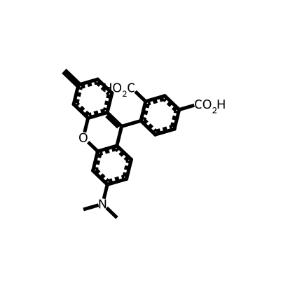 C=c1ccc2c(c1)Oc1cc(N(C)C)ccc1C=2c1ccc(C(=O)O)cc1C(=O)O